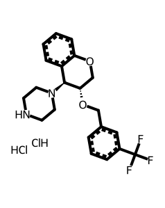 Cl.Cl.FC(F)(F)c1cccc(CO[C@H]2COc3ccccc3[C@@H]2N2CCNCC2)c1